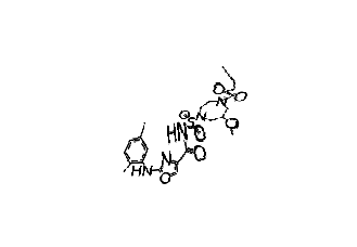 CCS(=O)(=O)N1CCN(S(=O)(=O)NC(=O)c2coc(Nc3cc(C)ccc3C)n2)CC(OC)C1